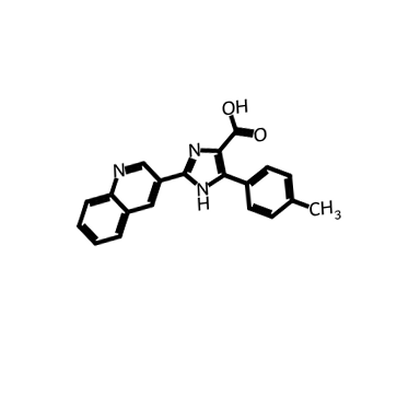 Cc1ccc(-c2[nH]c(-c3cnc4ccccc4c3)nc2C(=O)O)cc1